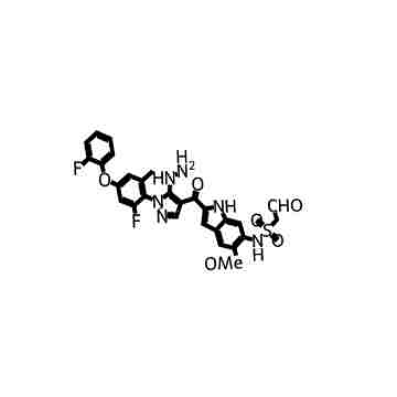 COc1cc2cc(C(=O)c3cnn(-c4c(C)cc(Oc5ccccc5F)cc4F)c3NN)[nH]c2cc1NS(=O)(=O)CC=O